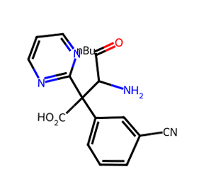 CCCCC(=O)C(N)C(C(=O)O)(c1cccc(C#N)c1)c1ncccn1